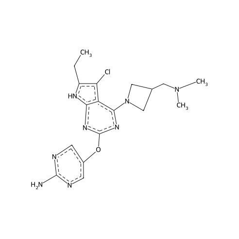 CCc1[nH]c2nc(Oc3cnc(N)nc3)nc(N3CC(CN(C)C)C3)c2c1Cl